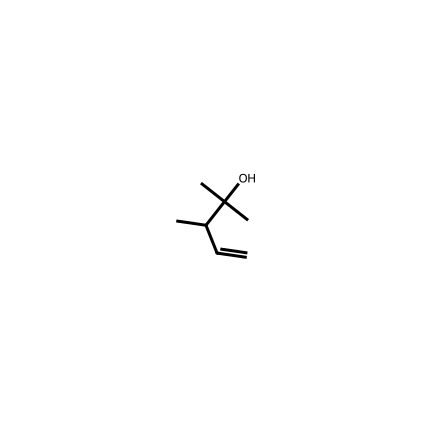 C=CC(C)C(C)(C)O